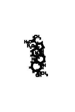 C=C(C)[C@H]1CC[C@H]2[C@@H]3CC[C@@H]4C[C@](C)(O)CCC[C@@H]4[C@H]3CC[C@]12C